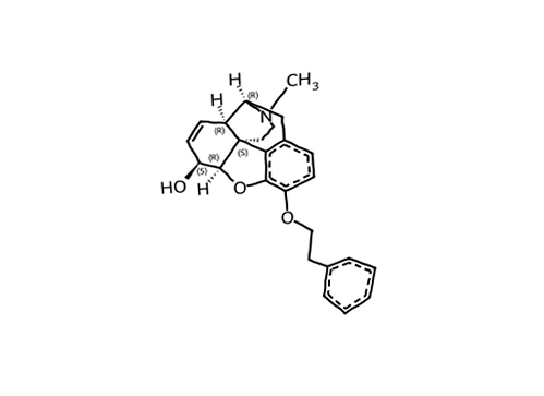 CN1CC[C@]23c4c5ccc(OCCc6ccccc6)c4O[C@H]2[C@@H](O)C=C[C@H]3[C@H]1C5